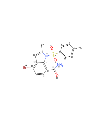 Cc1ccc(S(=O)(=O)n2c(C)cc3c(Br)ccc(C(N)=O)c32)cc1